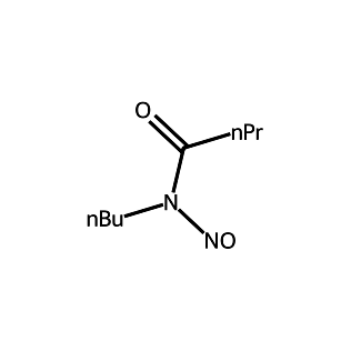 CCCCN(N=O)C(=O)CCC